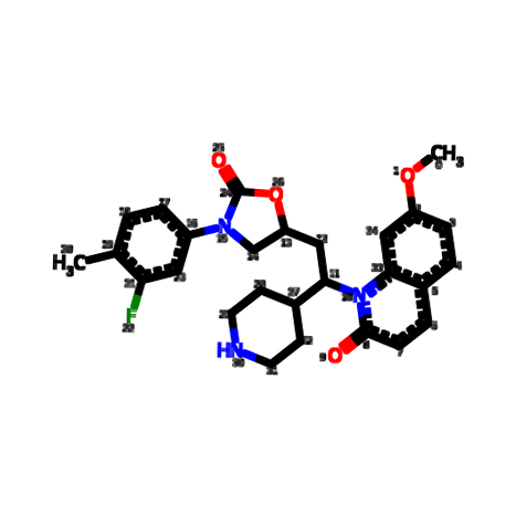 COc1ccc2ccc(=O)n(C(CC3CN(c4ccc(C)c(F)c4)C(=O)O3)C3CCNCC3)c2c1